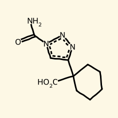 NC(=O)n1cc(C2(C(=O)O)CCCCC2)nn1